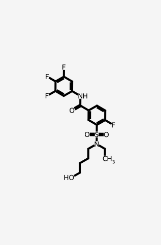 CCN(CCCCO)S(=O)(=O)c1cc(C(=O)Nc2cc(F)c(F)c(F)c2)ccc1F